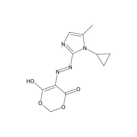 Cc1cnc(N=NC2=C(O)OCOC2=O)n1C1CC1